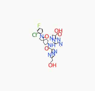 CN(C)c1ccn2ncc(C(=O)O)c2n1.O=C(NC1CCC2(CC1)CCN(c1ccc(F)cc1Cl)C2=O)c1cnn2cc(CCO)cnc12